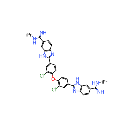 CC(C)NC(=N)c1ccc2nc(-c3ccc(Oc4ccc(-c5nc6ccc(C(=N)NC(C)C)cc6[nH]5)cc4Cl)c(Cl)c3)[nH]c2c1